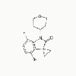 O=C1N(C2CCOCC2)c2c(F)ccc(Br)c2C12CC2